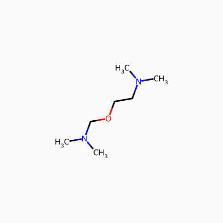 CN(C)CCOCN(C)C